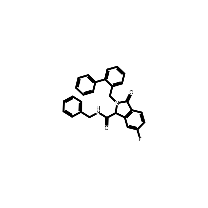 O=C(NCc1ccccc1)C1c2cc(F)ccc2C(=O)N1Cc1ccccc1-c1ccccc1